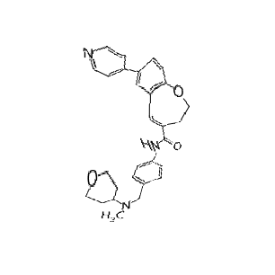 CN(Cc1ccc(NC(=O)C2=Cc3cc(-c4ccncc4)ccc3OCC2)cc1)C1CCOCC1